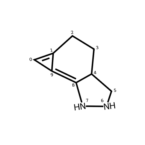 C1=C2CCC3CNNC3=C12